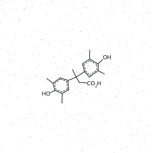 Cc1cc(C(C)(CC(=O)O)c2cc(C)c(O)c(C)c2)cc(C)c1O